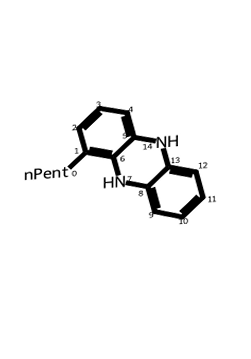 CCCCCc1cccc2c1Nc1ccccc1N2